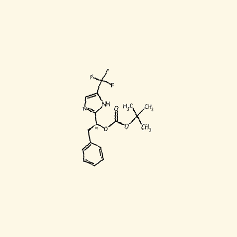 CC(C)(C)OC(=O)O[C@@H](Cc1ccccc1)c1ncc(C(F)(F)F)[nH]1